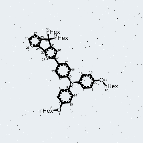 CCCCCCOc1ccc(N(c2ccc(OCCCCCC)cc2)c2ccc(-c3cc4c(s3)-c3sccc3C4(CCCCCC)CCCCCC)cc2)cc1